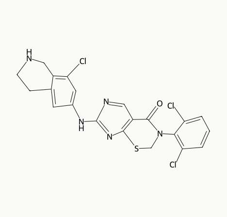 O=C1c2cnc(Nc3cc(Cl)c4c(c3)CCNC4)nc2SCN1c1c(Cl)cccc1Cl